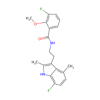 COc1c(F)cccc1C(=O)NCCc1c(C)[nH]c2c(F)ccc(C)c12